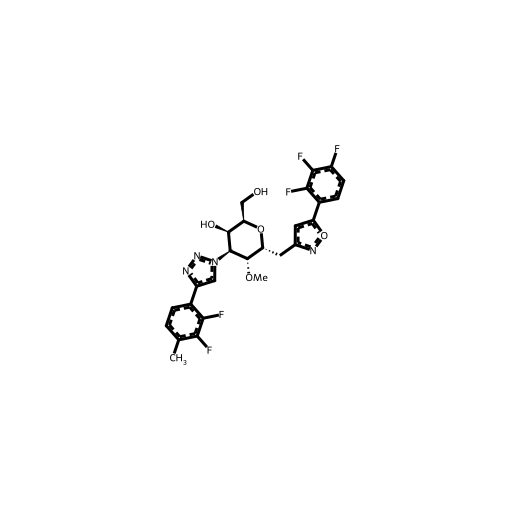 CO[C@@H]1[C@@H](n2cc(-c3ccc(C)c(F)c3F)nn2)[C@@H](O)[C@@H](CO)O[C@@H]1Cc1cc(-c2ccc(F)c(F)c2F)on1